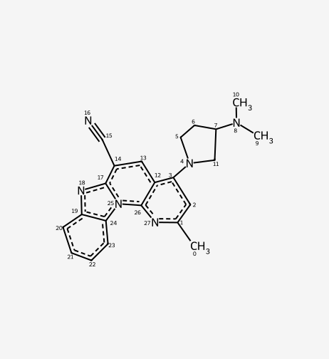 Cc1cc(N2CCC(N(C)C)C2)c2cc(C#N)c3nc4ccccc4n3c2n1